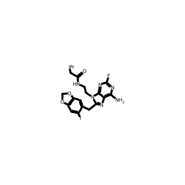 CC(C)CC(=O)NCCn1c(Cc2cc3c(cc2I)OCO3)nc2c(N)nc(F)nc21